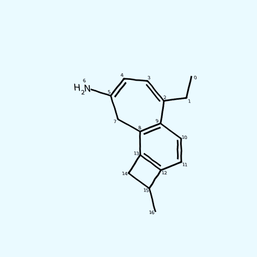 CCC1=CC=C(N)Cc2c1ccc1c2CC1C